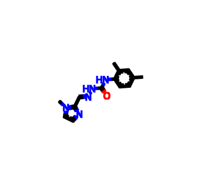 Cc1ccc(NC(=O)NN=Cc2nccn2C)c(C)c1